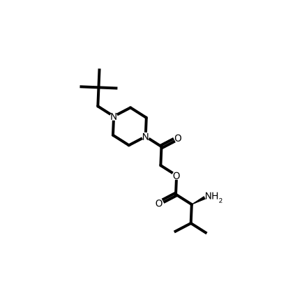 CC(C)[C@H](N)C(=O)OCC(=O)N1CCN(CC(C)(C)C)CC1